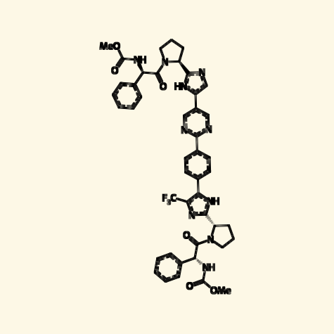 COC(=O)N[C@@H](C(=O)N1CCC[C@H]1c1ncc(-c2cnc(-c3ccc(-c4[nH]c([C@@H]5CCCN5C(=O)[C@H](NC(=O)OC)c5ccccc5)nc4C(F)(F)F)cc3)nc2)[nH]1)c1ccccc1